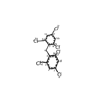 Clc1cc(Cl)c([CH]c2c(Cl)cc(Cl)cc2Cl)c(Cl)c1